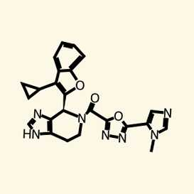 Cn1cncc1-c1nnc(C(=O)N2CCc3[nH]cnc3[C@H]2c2oc3ccccc3c2C2CC2)o1